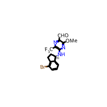 COc1nc(N[C@H]2CCc3c(Br)cccc32)c(C(F)(F)F)nc1C=O